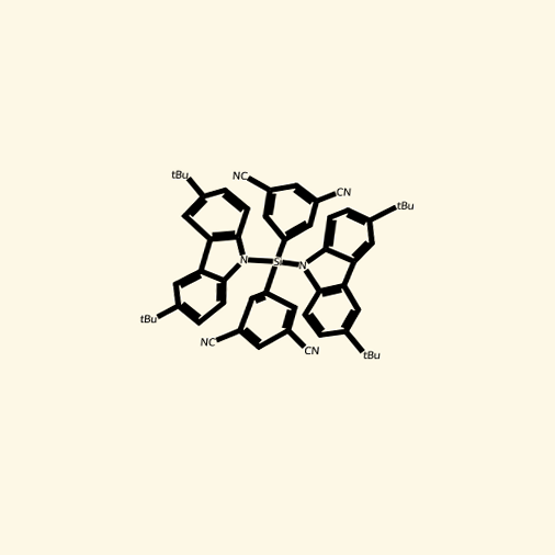 CC(C)(C)c1ccc2c(c1)c1cc(C(C)(C)C)ccc1n2[Si](c1cc(C#N)cc(C#N)c1)(c1cc(C#N)cc(C#N)c1)n1c2ccc(C(C)(C)C)cc2c2cc(C(C)(C)C)ccc21